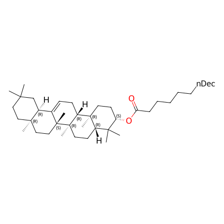 CCCCCCCCCCCCCCCC(=O)O[C@H]1CC[C@]2(C)[C@H]3CC=C4[C@@H]5CC(C)(C)CC[C@]5(C)CC[C@@]4(C)[C@]3(C)CC[C@H]2C1(C)C